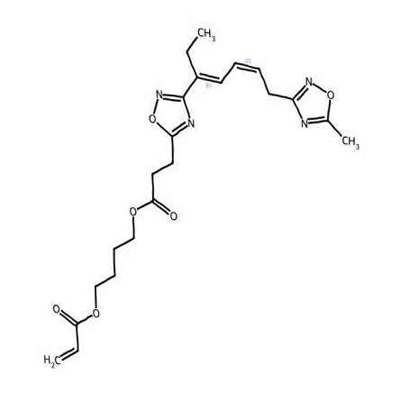 C=CC(=O)OCCCCOC(=O)CCc1nc(/C(=C/C=C\Cc2noc(C)n2)CC)no1